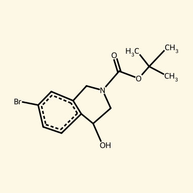 CC(C)(C)OC(=O)N1Cc2cc(Br)ccc2C(O)C1